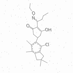 CCC/C(=N\OCC)C1=C(O)CC(c2c(C)c(C)c3c(c2Cl)CC(C)(C)C3)CC1=O